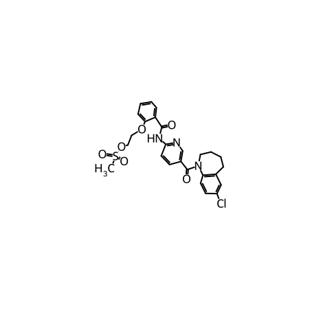 CS(=O)(=O)OCCOc1ccccc1C(=O)Nc1ccc(C(=O)N2CCCCc3cc(Cl)ccc32)cn1